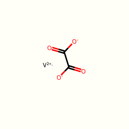 O=C([O-])C(=O)[O-].[V+2]